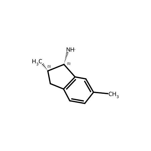 Cc1ccc2c(c1)[C@@H]([NH])[C@@H](C)C2